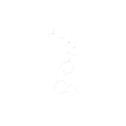 Cc1cc2c(-c3ccc(S(=O)(=O)NC(C)(C)COC(=O)C(F)(F)F)nc3)ccnc2[nH]1